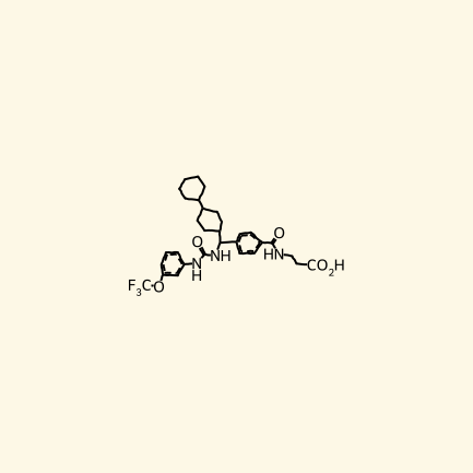 O=C(O)CCNC(=O)c1ccc(C(NC(=O)Nc2cccc(OC(F)(F)F)c2)C2CCC(C3CCCCC3)CC2)cc1